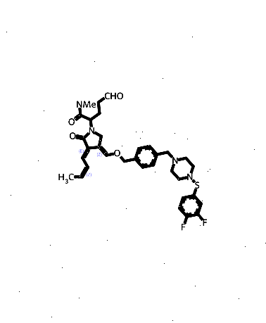 C\C=C/C=C1/C(=O)N(C(CCC=O)C(=O)NC)C/C1=C\OCc1ccc(CN2CCN(Sc3ccc(F)c(F)c3)CC2)cc1